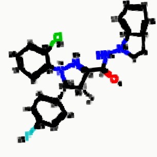 C[C@H]1C(C(=O)NN2CCc3ccccc32)=NN(c2ccccc2Cl)[C@H]1c1ccc(F)cc1